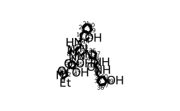 CCc1cc([C@H]2O[C@@H](n3cnc4c(N[C@H](CO)Cc5ccccc5)nc(N5CC[C@@H](NC(=O)NCc6cccc(O)c6)C5)nc43)[C@@H](O)[C@@H]2O)on1